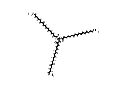 CCCCCCCCCCCCCCCCCC(=O)OB(OC(=O)CCCCCCCCCCCCCCCCC)OC(=O)CCCCCCCCCCCCCCCCC